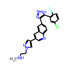 CNCCn1cc(-c2cnc3ccc(-c4nn[nH]c4-c4cc(Cl)ccc4F)cc3c2)cn1